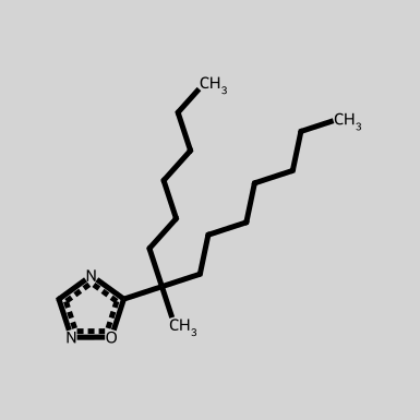 CCCCCCCC(C)(CCCCCC)c1ncno1